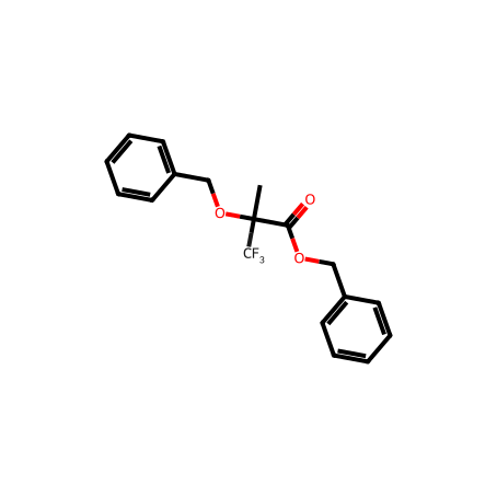 CC(OCc1ccccc1)(C(=O)OCc1ccccc1)C(F)(F)F